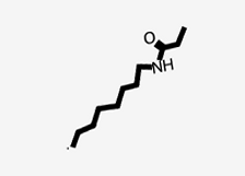 [CH2]CCCCCCCNC(=O)CC